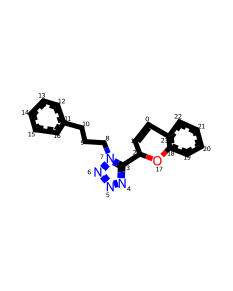 C1=CC(c2nnnn2CCCc2ccccc2)Oc2ccccc21